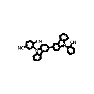 N#Cc1ccc(C#N)c(-n2c3ccccc3c3cc(-c4ccc5c(c4)c4ccccc4n5-c4ccccc4C#N)ccc32)c1